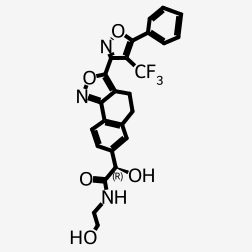 O=C(NCCO)[C@H](O)c1ccc2c(c1)CCc1c-2noc1-c1noc(-c2ccccc2)c1C(F)(F)F